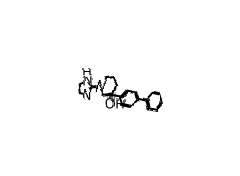 O[C@]1(c2ccc(-c3ccccc3)cc2)CCCN(C2=NCCN2)C1